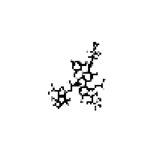 CC(C)(C#Cc1nc([C@H](Cc2cc(F)cc(F)c2)NC(=O)Cn2nc(C(F)F)c3c2C(F)(F)C2CC[C@H]32)c(-c2ccc(Cl)c3c(NS(C)(=O)=O)nn(CC(F)F)c23)cc1I)S(=O)(=O)C1CC1